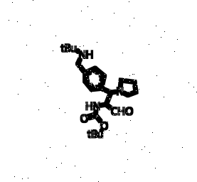 CC(C)(C)NCc1ccc(C(C(C=O)NC(=O)OC(C)(C)C)N2CCCC2)cc1